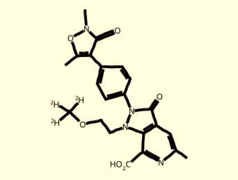 [2H]C([2H])([2H])OCCn1c2c(C(=O)O)nc(C)cc2c(=O)n1-c1ccc(-c2c(C)on(C)c2=O)cc1